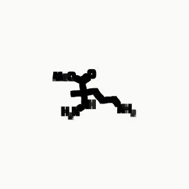 COC(=O)C(C)(CCCN)NN